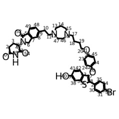 O=C1CC[C@H](N2Cc3cc(CCN4CCCN(CCCCOc5ccc(Oc6c(-c7ccc(Br)cc7)sc7cc(O)ccc67)cc5)CC4)ccc3C2=O)C(=O)N1